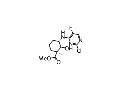 COC(=O)[C@@]1(C)CCC[C@H](Nc2nc(Cl)ncc2F)[C@H]1O